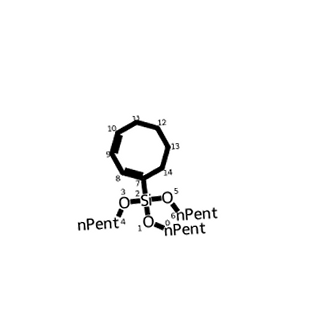 CCCCCO[Si](OCCCCC)(OCCCCC)C1=CC=CCCCC1